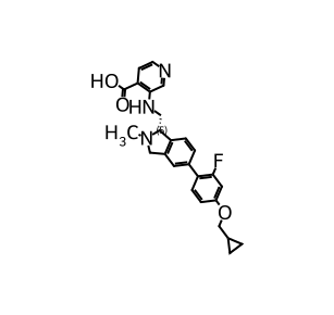 CN1Cc2cc(-c3ccc(OCC4CC4)cc3F)ccc2[C@H]1CNc1cnccc1C(=O)O